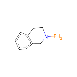 PN1CCc2ccccc2C1